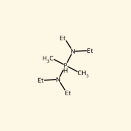 CCN(CC)[PH](C)(C)N(CC)CC